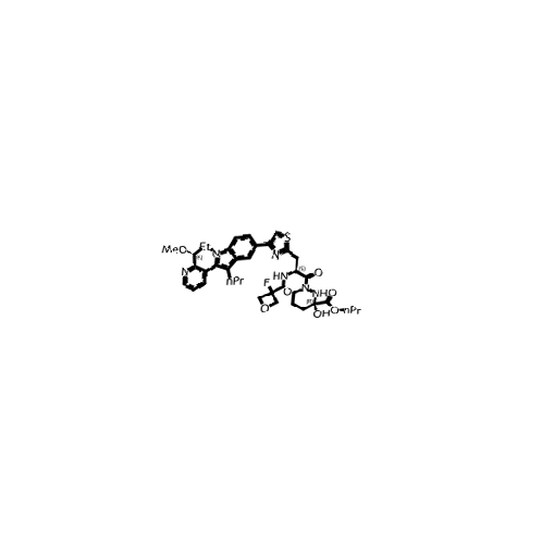 CCCOC(=O)[C@]1(O)CCCN(C(=O)[C@H](Cc2nc(-c3ccc4c(c3)c(CCC)c(-c3cccnc3[C@H](C)OC)n4CC)cs2)NC(=O)C2(F)COC2)N1